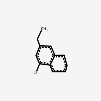 CCc1cc(Cl)c2ccccc2c1